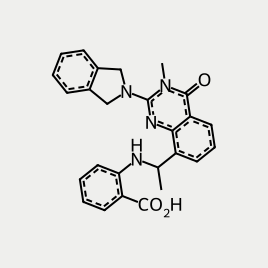 CC(Nc1ccccc1C(=O)O)c1cccc2c(=O)n(C)c(N3Cc4ccccc4C3)nc12